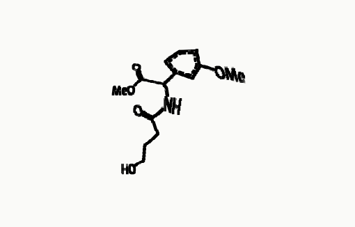 COC(=O)C(NC(=O)CCCO)c1cccc(OC)c1